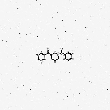 O=C(c1cncnc1)C1CCCN(C(=O)c2ccccc2)C1